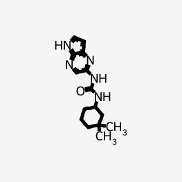 CC1(C)CCCC(NC(=O)Nc2cnc3[nH]ccc3n2)C1